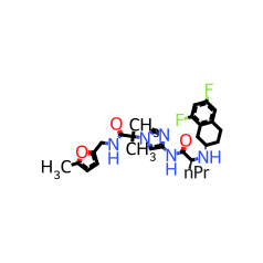 CCC[C@H](N[C@H]1CCc2cc(F)cc(F)c2C1)C(=O)Nc1cn(C(C)(C)C(=O)NCc2ccc(C)o2)cn1